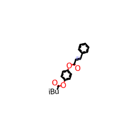 CCC(C)C(=O)Oc1ccc(OC(=O)/C=C/c2ccccc2)cc1